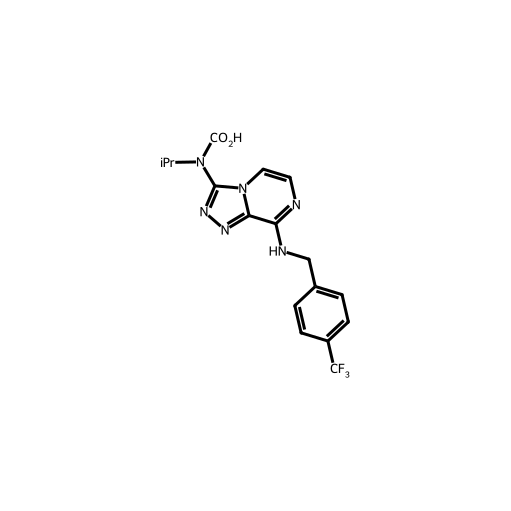 CC(C)N(C(=O)O)c1nnc2c(NCc3ccc(C(F)(F)F)cc3)nccn12